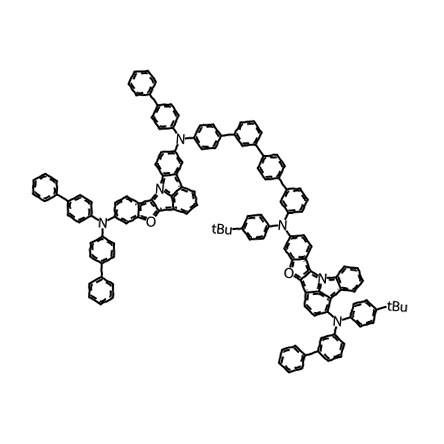 CC(C)(C)c1ccc(N(c2cccc(-c3ccc(-c4cccc(-c5ccc(N(c6ccc(-c7ccccc7)cc6)c6ccc7c(c6)c6cccc8c9oc%10cc(N(c%11ccc(-c%12ccccc%12)cc%11)c%11ccc(-c%12ccccc%12)cc%11)ccc%10c9n7c68)cc5)c4)cc3)c2)c2ccc3c(c2)oc2c4ccc(N(c5ccc(C(C)(C)C)cc5)c5cccc(-c6ccccc6)c5)c5c6ccccc6n(c32)c45)cc1